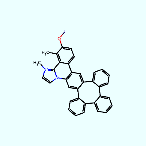 Cc1c(OI)ccc2c3cc4c(cc3n3cc[n+](C)c3c12)-c1ccccc1-c1ccccc1-c1ccccc1-4